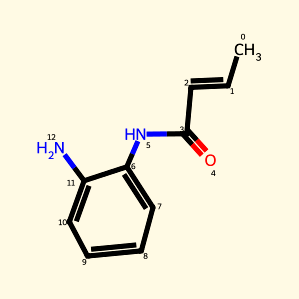 C/C=C/C(=O)Nc1ccccc1N